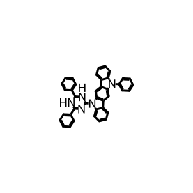 c1ccc(C2=NC(n3c4ccccc4c4cc5c(cc43)c3ccccc3n5-c3ccccc3)NC(c3ccccc3)N2)cc1